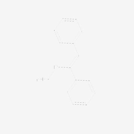 CCCCCCPC(=Cc1ccccc1)c1ccccc1